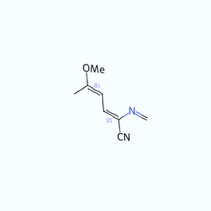 C=N/C(C#N)=C\C=C(/C)OC